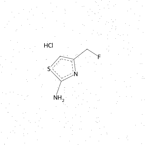 Cl.Nc1nc(CF)cs1